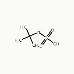 CC(C)(C)[N]S(=O)(=O)O